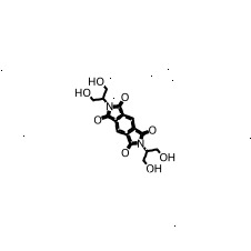 O=c1c2cc3c(=O)n(C(CO)CO)c(=O)c3cc2c(=O)n1C(CO)CO